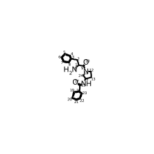 NC(Cc1ccccc1)C(=O)N1CCC(NC(=O)c2ccccc2)C1